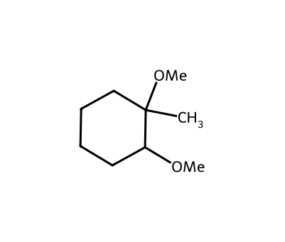 COC1CCCCC1(C)OC